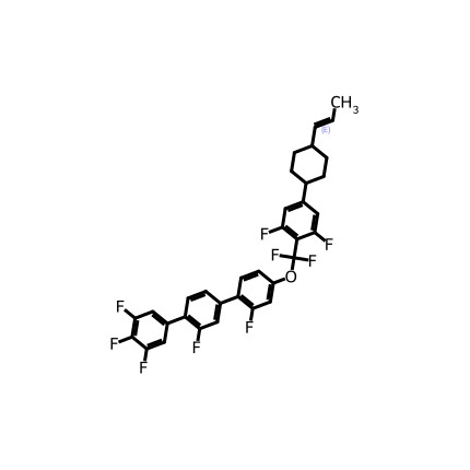 C/C=C/C1CCC(c2cc(F)c(C(F)(F)Oc3ccc(-c4ccc(-c5cc(F)c(F)c(F)c5)c(F)c4)c(F)c3)c(F)c2)CC1